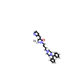 CC/C(=C\c1cccnc1)C(=O)NCCCCN1CCN(C(c2ccccc2)c2ccccc2)CC1